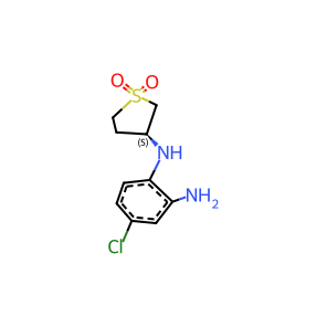 Nc1cc(Cl)ccc1N[C@H]1CCS(=O)(=O)C1